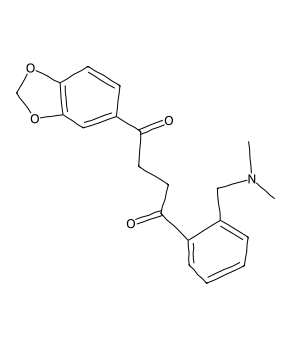 CN(C)Cc1ccccc1C(=O)CCC(=O)c1ccc2c(c1)OCO2